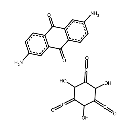 Nc1ccc2c(c1)C(=O)c1ccc(N)cc1C2=O.O=C=C1C(O)C(=C=O)C(O)C(=C=O)C1O